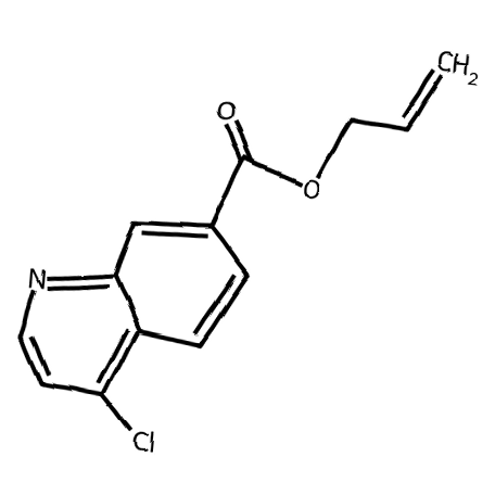 C=CCOC(=O)c1ccc2c(Cl)ccnc2c1